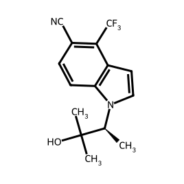 C[C@H](n1ccc2c(C(F)(F)F)c(C#N)ccc21)C(C)(C)O